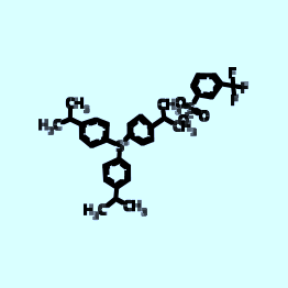 CC(C)c1ccc([S+](c2ccc(C(C)C)cc2)c2ccc(C(C)C)cc2)cc1.O=S(=O)([O-])c1cccc(C(F)(F)F)c1